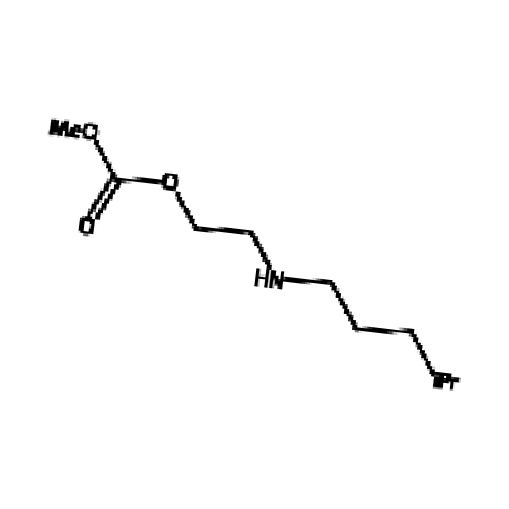 COC(=O)OCCNCCCC(C)C